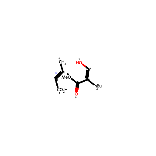 C/C=C/C(=O)O.CCCCC(=CO)C(=O)OC